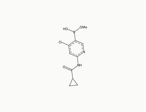 COB(O)c1cnc(NC(=O)C2CC2)cc1Cl